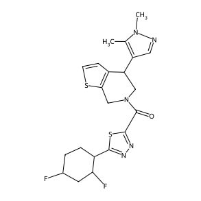 Cc1c(C2CN(C(=O)c3nnc(C4CCC(F)CC4F)s3)Cc3sccc32)cnn1C